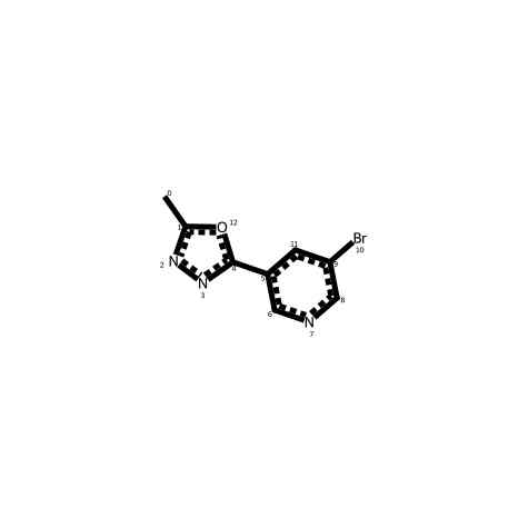 Cc1nnc(-c2cncc(Br)c2)o1